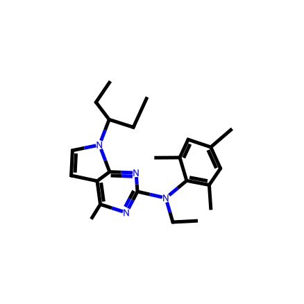 CCC(CC)n1ccc2c(C)nc(N(CC)c3c(C)cc(C)cc3C)nc21